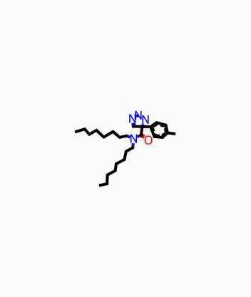 CCCCCCCCN(CCCCCCCC)C(=O)C1(c2ccc(C)cc2)C=NN=N1